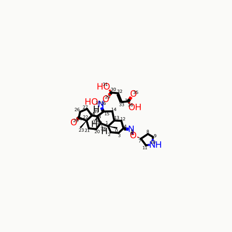 C[C@]12CC/C(=N\O[C@@H]3CCNC3)CC1C/C(=N/O)[C@@H]1[C@@H]2CC[C@]2(C)C(=O)CC[C@@H]12.O=C(O)/C=C/C(=O)O